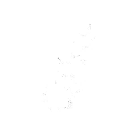 CCc1nn(C[C@@H](C)COC(=O)c2ccc(Cl)cc2)c2c1C(=O)NCCCOCCC2